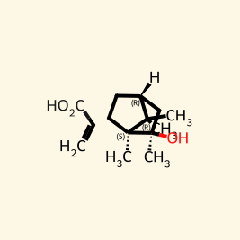 C=CC(=O)O.CC1(C)[C@@H]2CC[C@]1(C)[C@](C)(O)C2